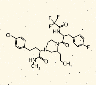 CCCC1CN(C(CCc2ccc(Cl)cc2)C(=O)NC)CCN1C(=O)C(Cc1ccc(F)cc1)NC(=O)C(F)(F)F